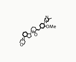 COc1cc(/C=C2\CCCN(C3CCc4c3cccc4N3CCOCC3)C2=O)ccc1-n1cnc(C)c1